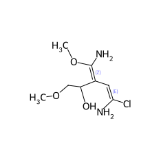 COCC(O)C(/C=C(\N)Cl)=C(/N)OC